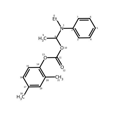 CCN(c1ccccc1)C(C)OC(=O)Oc1ccc(C)cc1C